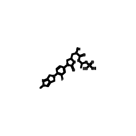 CC(=O)N(CC1CN(c2ccc(N3Cc4cn(C)nc4C3)c(F)c2)C(=O)O1)C(=O)OC(C)OP(=O)(O)O